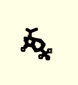 CC(C)n1sc(=O)c2cc(S(=O)(=O)Cl)ccc21